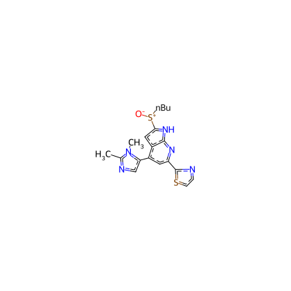 CCCC[S+]([O-])c1cc2c(-c3cnc(C)n3C)cc(-c3nccs3)nc2[nH]1